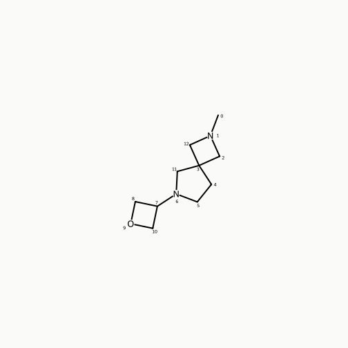 CN1CC2(CCN(C3COC3)C2)C1